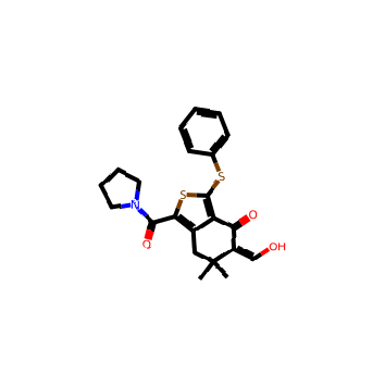 CC1(C)Cc2c(C(=O)N3CCCC3)sc(Sc3ccccc3)c2C(=O)C1=CO